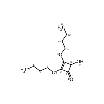 O=C1C(OCCCC(F)(F)F)=C(OCCCC(F)(F)F)C1O